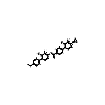 CCc1ccc(-c2ccc(OC(=O)c3ccc(-c4ccc(C5CO5)c(F)c4F)cc3)c(F)c2F)cc1